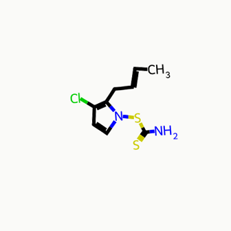 CC=CCc1c(Cl)ccn1SC(N)=S